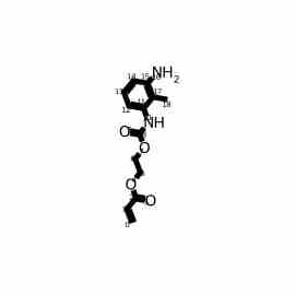 C=CC(=O)OCCOC(=O)Nc1cccc(N)c1C